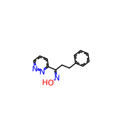 ON=C(CCc1ccccc1)c1cccnn1